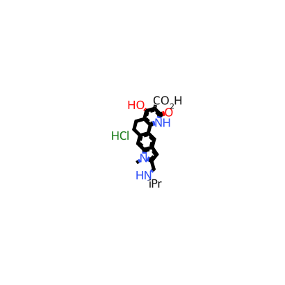 CC(C)NCc1cc2cc3c(cc2n1C)CCc1c-3[nH]c(=O)c(C(=O)O)c1O.Cl